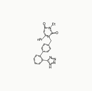 CCCc1cc(=O)n(CC)c(=O)n1Cc1ccc(-c2ccccc2-c2nnn[nH]2)cc1